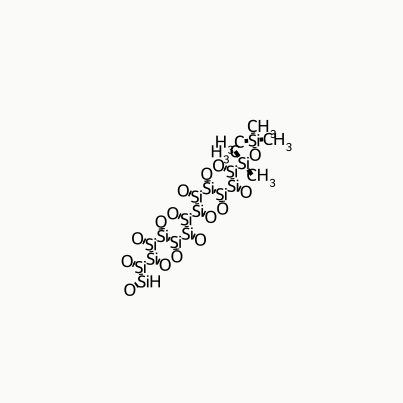 C[Si](C)(C)O[Si](C)(C)[Si](=O)[Si](=O)[Si](=O)[Si](=O)[Si](=O)[Si](=O)[Si](=O)[Si](=O)[Si](=O)[Si](=O)[Si](=O)[Si](=O)[Si](=O)[SiH]=O